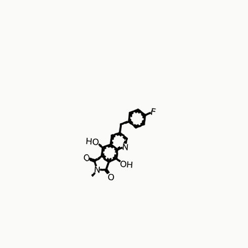 CN1C(=O)c2c(c(O)c3ncc(Cc4ccc(F)cc4)cc3c2O)C1=O